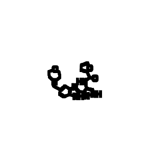 O=C(Nc1c[nH]nc1-c1nc2cc(CN3CCOCC3)ccc2[nH]1)c1ccco1